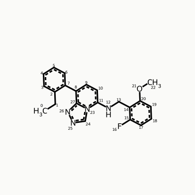 CCc1ccccc1-c1ccc(NCc2c(F)cccc2OC)n2cnnc12